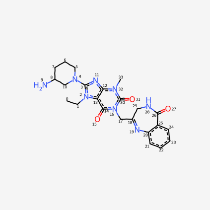 CCn1c(N2CCCC(N)C2)nc2c1c(=O)n(CC1=Nc3ccccc3C(=O)NC1)c(=O)n2C